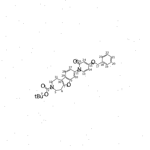 CC(C)(C)OC(=O)N1CCc2oc3cc(-n4ccc(OCc5ccccc5)cc4=O)ccc3c2CC1